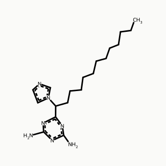 CCCCCCCCCCCCC(c1nc(N)nc(N)n1)n1ccnc1